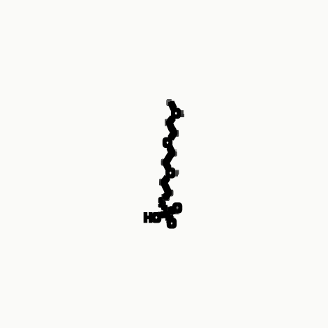 COCCOCCOCCSS(=O)(=O)O